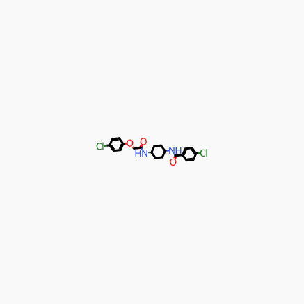 O=C(COc1ccc(Cl)cc1)N[C@H]1CC[C@H](NC(=O)c2ccc(Cl)cc2)CC1